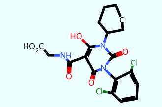 O=C(O)CNC(=O)c1c(O)n(C2CCCCC2)c(=O)n(-c2c(Cl)cccc2Cl)c1=O